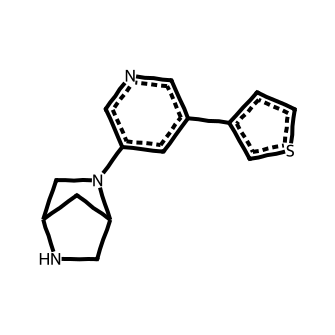 c1cc(-c2cncc(N3CC4CC3CN4)c2)cs1